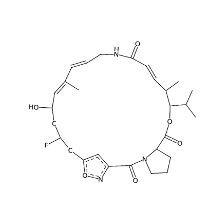 CC1=C\C(O)CC(F)Cc2cc(no2)C(=O)N2CCCC2C(=O)OC(C(C)C)C(C)/C=C/C(=O)NC\C=C\1